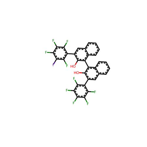 Oc1c(-c2c(F)c(F)c(F)c(F)c2F)cc2ccccc2c1-c1c(O)c(-c2c(F)c(F)c(F)c(I)c2F)cc2ccccc12